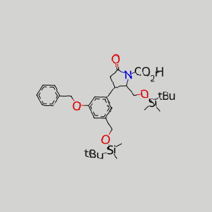 CC(C)(C)[Si](C)(C)OCc1cc(OCc2ccccc2)cc(C2CC(=O)N(C(=O)O)C2CO[Si](C)(C)C(C)(C)C)c1